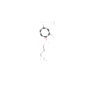 N#CCCCOc1ccc(C(=O)O)cc1Cl